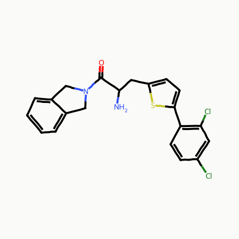 NC(Cc1ccc(-c2ccc(Cl)cc2Cl)s1)C(=O)N1Cc2ccccc2C1